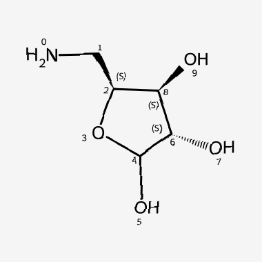 NC[C@@H]1OC(O)[C@@H](O)[C@@H]1O